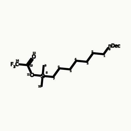 CCCCCCCCCCCCCCCCC[Si](C)(C)OC(=O)C(F)(F)F